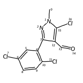 Cn1nc(-c2cc(Cl)ccc2Cl)c(C=O)c1Cl